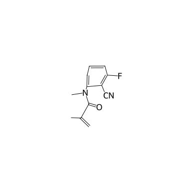 C=C(C)C(=O)N(C)c1cccc(F)c1C#N